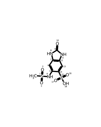 CS(=O)(=O)Nc1cc2[nH]c(=O)[nH]c2cc1S(=O)(=O)O